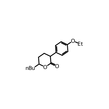 CCCCC1CCC(c2ccc(OCC)cc2)C(=O)O1